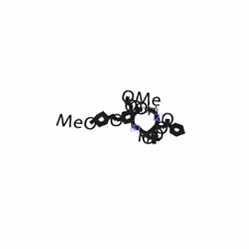 COCOc1cc(OCc2ccc(OC)cc2)cc2c1C(=O)O[C@@H](C)[C@H](C)/C=C\C(OC(=O)c1ccccc1)C1OC(C)(C)O[C@H]1C/C=C/2